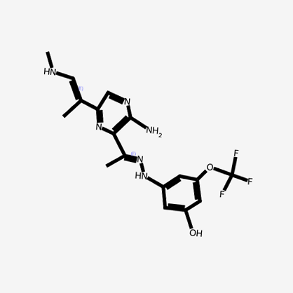 CN/C=C(\C)c1cnc(N)c(/C(C)=N/Nc2cc(O)cc(OC(F)(F)F)c2)n1